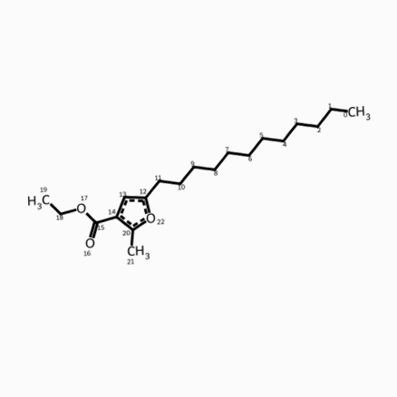 CCCCCCCCCCCCc1cc(C(=O)OCC)c(C)o1